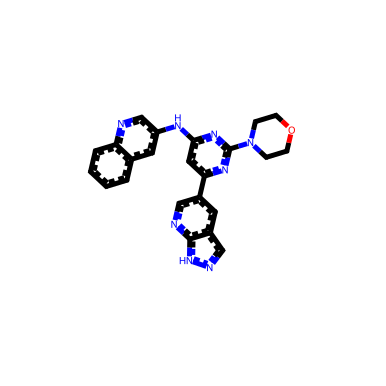 c1ccc2ncc(Nc3cc(-c4cnc5[nH]ncc5c4)nc(N4CCOCC4)n3)cc2c1